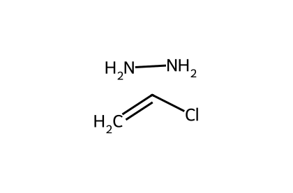 C=CCl.NN